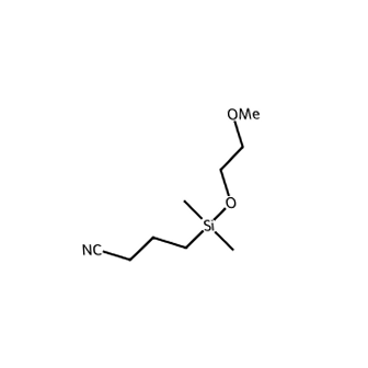 COCCO[Si](C)(C)CCCC#N